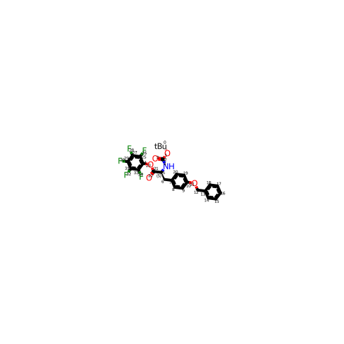 CC(C)(C)OC(=O)N[C@@H](Cc1ccc(OCc2ccccc2)cc1)C(=O)Oc1c(F)c(F)c(F)c(F)c1F